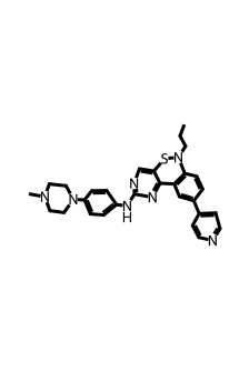 CCCN1Sc2cnc(Nc3ccc(N4CCN(C)CC4)cc3)nc2-c2cc(-c3ccncc3)ccc21